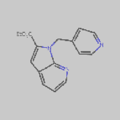 CCOC(=O)c1cc2cccnc2n1Cc1ccncc1